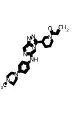 C=CC(=O)N1CCCC(c2nnc3cnc(Nc4ccc(N5CCN(C)CC5)cc4)cn23)C1